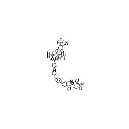 CC1(C)[C@H](NC(=O)c2ccc(N3CCC(CN4CCN(c5ccc6c(=O)n(C7CCC(=O)NC7=O)ncc6c5)CC4)CC3)cc2)C(C)(C)[C@H]1Oc1ccc(C#N)c(C(F)(F)F)c1